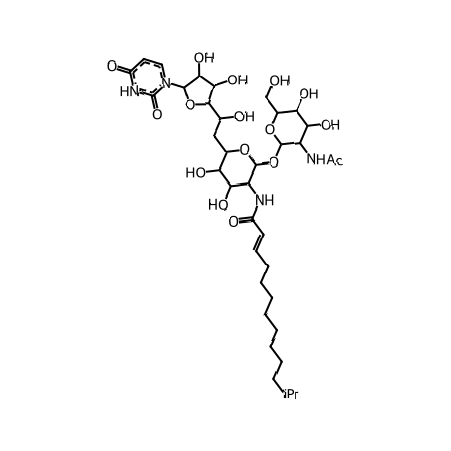 CC(=O)NC1C(OC2OC(CC(O)C3OC(n4ccc(=O)[nH]c4=O)C(O)C3O)C(O)C(O)C2NC(=O)C=CCCCCCCCCC(C)C)OC(CO)C(O)C1O